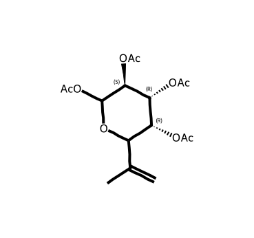 C=C(C)C1OC(OC(C)=O)[C@@H](OC(C)=O)[C@H](OC(C)=O)[C@@H]1OC(C)=O